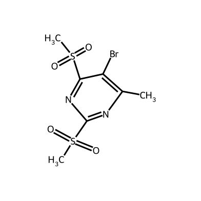 Cc1nc(S(C)(=O)=O)nc(S(C)(=O)=O)c1Br